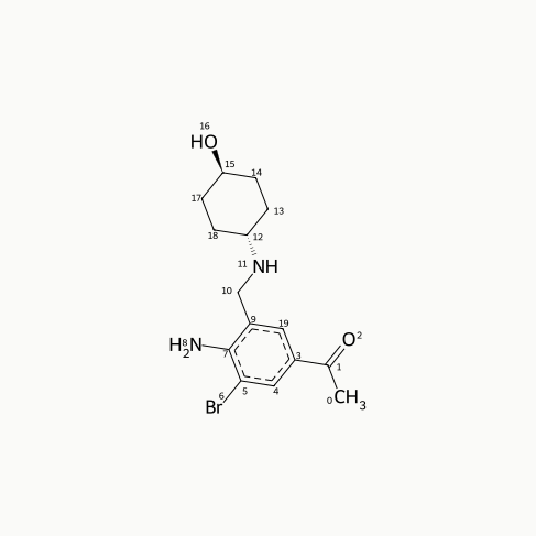 CC(=O)c1cc(Br)c(N)c(CN[C@H]2CC[C@H](O)CC2)c1